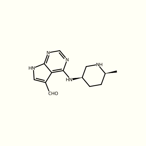 C[C@H]1CC[C@@H](Nc2ncnc3[nH]cc(C=O)c23)CN1